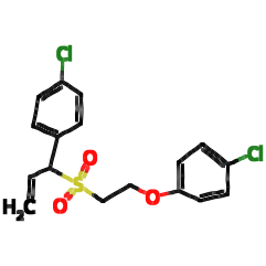 C=CC(c1ccc(Cl)cc1)S(=O)(=O)CCOc1ccc(Cl)cc1